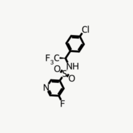 O=S(=O)(N[C@H](c1ccc(Cl)cc1)C(F)(F)F)c1cncc(F)c1